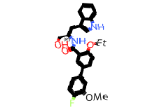 CCOc1ccc(-c2ccc(F)c(OC)c2)cc1C(=O)N[C@@H](CO)Cc1c[nH]c2ccccc12